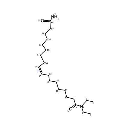 CCN(CC)C(=O)CCCCCCC/C=C\CCCCCCCC(N)=O